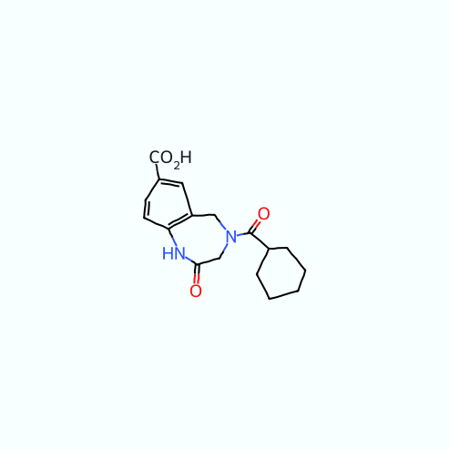 O=C1CN(C(=O)C2CCCCC2)Cc2cc(C(=O)O)ccc2N1